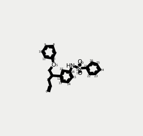 C=CCC(COc1cc[c]cc1)c1cccc(NS(=O)(=O)c2ccccc2)c1